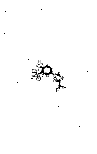 Cc1ccc(-n2cnc(C(F)F)n2)cc1S(=O)(=O)Cl